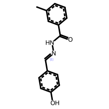 Cc1cccc(C(=O)N/N=C/c2ccc(O)cc2)c1